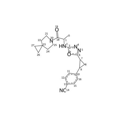 CC(Nc1nnc(C2CC2c2ccc(C#N)cc2)o1)C(=O)N1CCC2(CC1)CC2